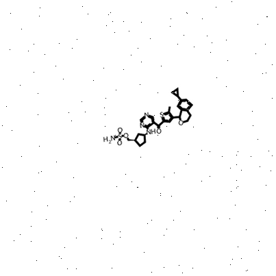 Cc1sc(C(=O)c2cncnc2N[C@H]2CC[C@@H](COS(N)(=O)=O)C2)cc1C1OCCc2ccc(C3CC3)cc21